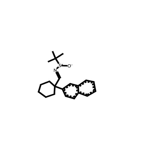 CC(C)(C)[S+]([O-])/N=C/C1(c2ccc3ccccc3c2)CCCCC1